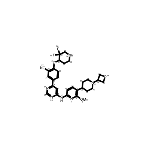 COc1nc(Nc2cc(-c3ccc(OC4CCNCC4(F)F)c(C#N)c3)ncn2)ccc1C1CCN(C2COC2)CC1